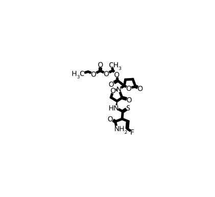 CCOC(=O)OC(C)OC(=O)C1(N2OC[C@H](NC(=S)C(C=CF)C(N)=O)C2=O)CCC(=O)O1